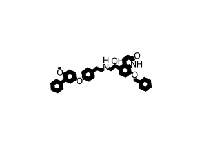 COc1ccc(Oc2ccc(CCNC[C@H](O)c3ccc(OCc4ccccc4)c4[nH]c(=O)ccc34)cc2)cc1-c1ccccc1